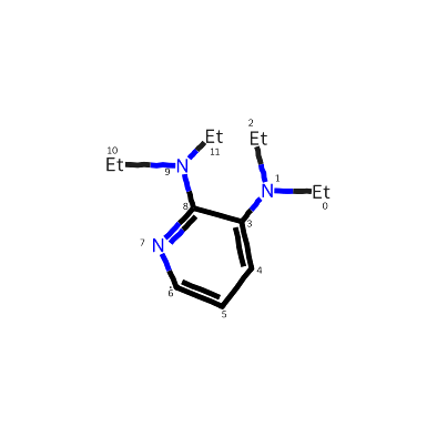 CCN(CC)c1cc[c]nc1N(CC)CC